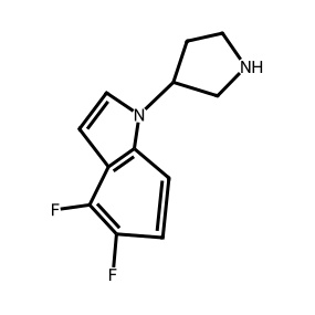 Fc1ccc2c(ccn2C2CCNC2)c1F